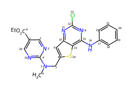 CCOC(=O)c1cnc(N(C)Cc2cc3nc(Cl)nc(Nc4ccccc4)c3s2)nc1